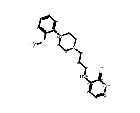 COc1ccccc1N1CCN(CCCNc2ccn[nH]c2=O)CC1